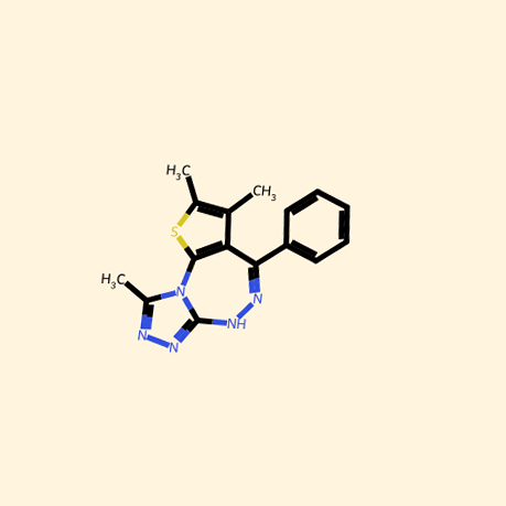 Cc1sc2c(c1C)C(c1ccccc1)=NNc1nnc(C)n1-2